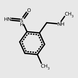 CNCc1cc(C)ccc1[SH](=N)=O